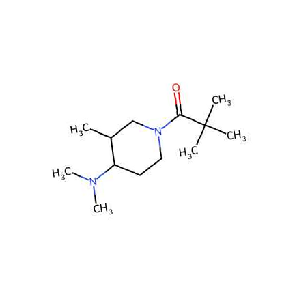 CC1CN(C(=O)C(C)(C)C)CCC1N(C)C